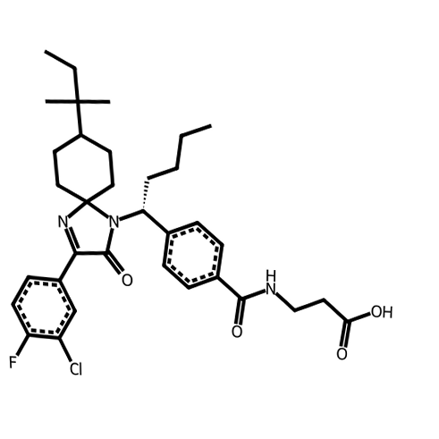 CCCC[C@H](c1ccc(C(=O)NCCC(=O)O)cc1)N1C(=O)C(c2ccc(F)c(Cl)c2)=NC12CCC(C(C)(C)CC)CC2